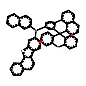 c1ccc2c(c1)Oc1ccccc1C21c2cc(N(c3ccc4ccccc4c3)c3ccc4c(c3)oc3c5ccccc5ccc43)ccc2-c2cccc3cccc1c23